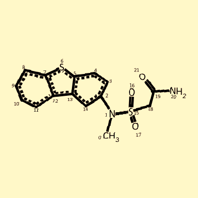 CN(c1ccc2sc3ccccc3c2c1)S(=O)(=O)CC(N)=O